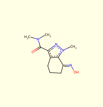 CN(C)C(=O)c1nn(C)c2c1CCC/C2=N\O